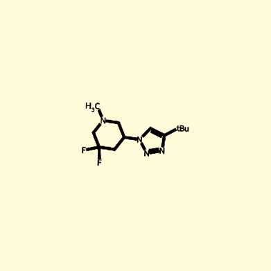 CN1CC(n2cc(C(C)(C)C)nn2)CC(F)(F)C1